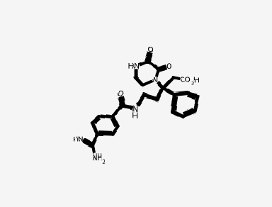 N=C(N)c1ccc(C(=O)NCCC(CC(=O)O)(c2ccccc2)N2CCNC(=O)C2=O)cc1